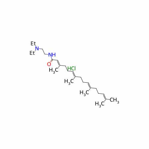 CCN(CC)CCNC(=O)/C=C(\C)CC/C=C(\C)CC/C=C(\C)CCC=C(C)C.Cl